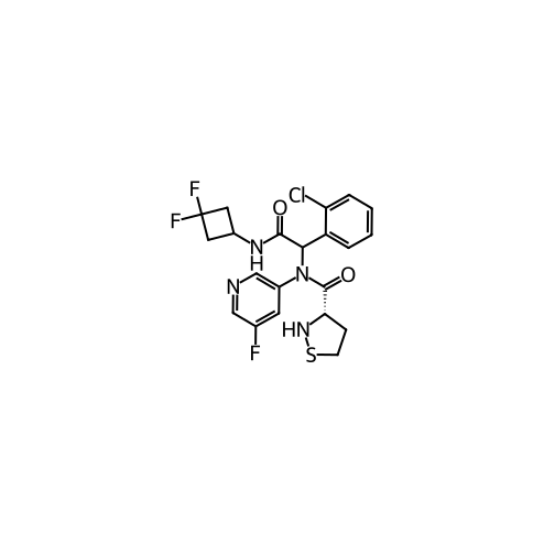 O=C(NC1CC(F)(F)C1)C(c1ccccc1Cl)N(C(=O)[C@@H]1CCSN1)c1cncc(F)c1